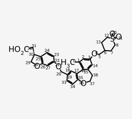 Cc1cc(OCC2CCS(=O)(=O)CC2)cc2c1-c1cc(COc3ccc4c(c3)OC[C@H]4CC(=O)O)ccc1OCC2